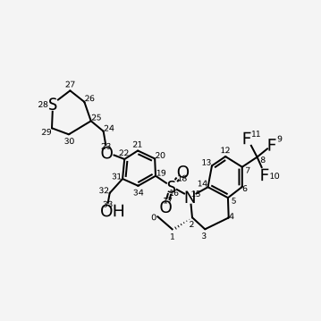 CC[C@H]1CCc2cc(C(F)(F)F)ccc2N1S(=O)(=O)c1ccc(OCC2CCSCC2)c(CO)c1